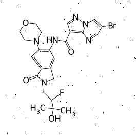 CC(C)(O)C(F)CN1Cc2cc(NC(=O)c3cnn4cc(Br)cnc34)c(N3CCOCC3)cc2C1=O